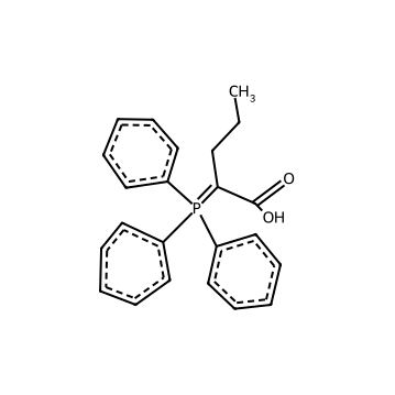 CCCC(C(=O)O)=P(c1ccccc1)(c1ccccc1)c1ccccc1